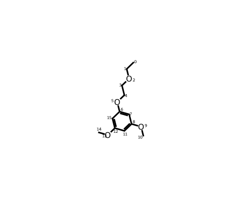 CCOCCOc1cc(OC)cc(OC)c1